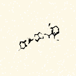 COc1cccc(OC)c1C(=O)CN1CC2CN(c3nc4ccc(Cl)cc4s3)CC2C1